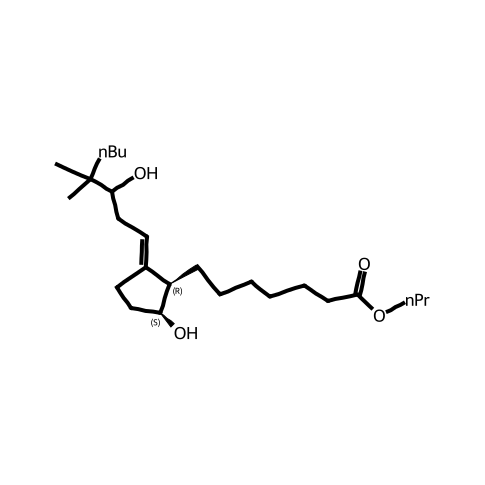 CCCCC(C)(C)C(O)CC=C1CC[C@H](O)[C@@H]1CCCCCCC(=O)OCCC